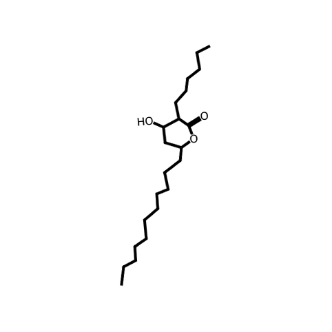 CCCCCCCCCCCC1CC(O)C(CCCCCC)C(=O)O1